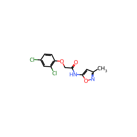 Cc1cc(NC(=O)COc2ccc(Cl)cc2Cl)on1